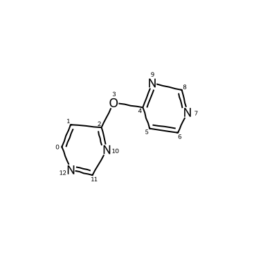 c1cc(Oc2ccncn2)ncn1